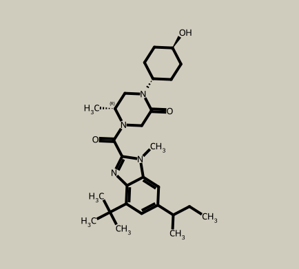 CCC(C)c1cc(C(C)(C)C)c2nc(C(=O)N3CC(=O)N([C@H]4CC[C@H](O)CC4)C[C@H]3C)n(C)c2c1